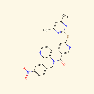 Cc1cc(C)nc(Sc2ccc(C(=O)N(Cc3ccc([N+](=O)[O-])cc3)c3cccnc3)cn2)n1